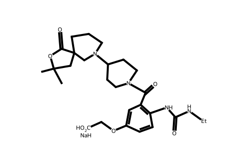 CCNC(=O)Nc1ccc(OCC(=O)O)cc1C(=O)N1CCC(N2CCCC3(C2)CC(C)(C)OC3=O)CC1.[NaH]